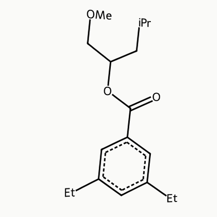 CCc1cc(CC)cc(C(=O)OC(COC)CC(C)C)c1